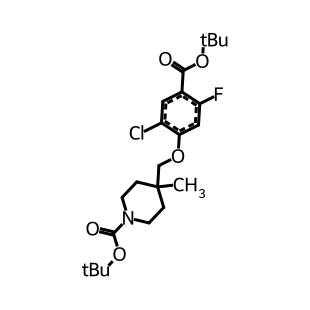 CC1(COc2cc(F)c(C(=O)OC(C)(C)C)cc2Cl)CCN(C(=O)OC(C)(C)C)CC1